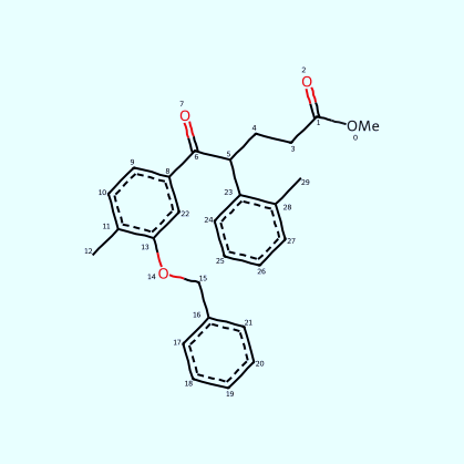 COC(=O)CCC(C(=O)c1ccc(C)c(OCc2ccccc2)c1)c1ccccc1C